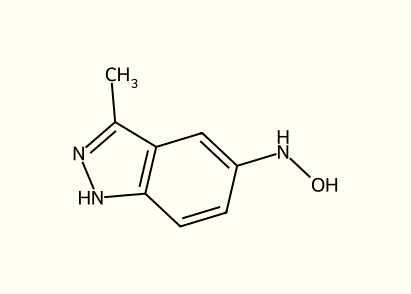 Cc1n[nH]c2ccc(NO)cc12